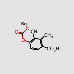 Cc1c(C(=O)O)ccc(OC(=O)OC(C)(C)C)c1C#N